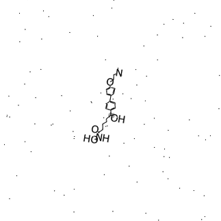 CN(C)CCOc1ccc(-c2ccc([C@H](O)CCCCC(=O)NO)cc2)cc1